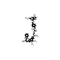 CN(CCOC(=O)NCc1ccc(COc2nc(N)nc3[nH]cnc23)cc1)c1cc2c(s1)-c1sc(/C=C(/C#N)c3nc4ccccc4o3)cc1C2(C)C